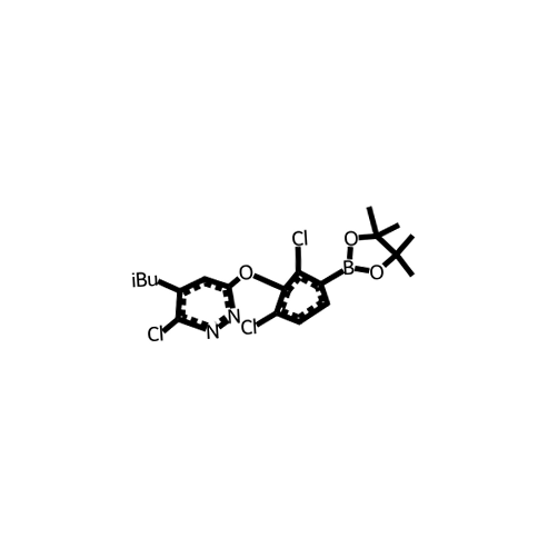 CCC(C)c1cc(Oc2c(Cl)ccc(B3OC(C)(C)C(C)(C)O3)c2Cl)nnc1Cl